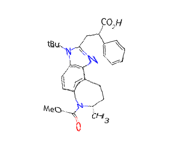 COC(=O)N1c2ccc3c(nc(CC(C(=O)O)c4ccccc4)n3C(C)(C)C)c2CC[C@@H]1C